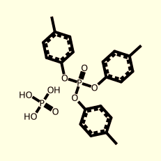 Cc1ccc(OP(=O)(Oc2ccc(C)cc2)Oc2ccc(C)cc2)cc1.O=P(O)(O)O